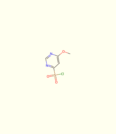 COc1cc(S(=O)(=O)Cl)ncn1